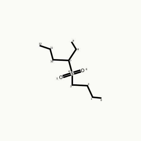 CCCCS(=O)(=O)C(CC)CCC